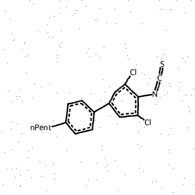 CCCCCc1ccc(-c2cc(Cl)c(N=C=S)c(Cl)c2)cc1